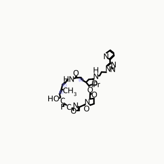 CC1=C\C(O)CC(F)Cc2nc(co2)C(=O)N2CCCC2C(=O)OC(C(C)C)C(CC(=O)NCCCn2cc(-c3ccccn3)nn2)/C=C/C(=O)NC\C=C\1